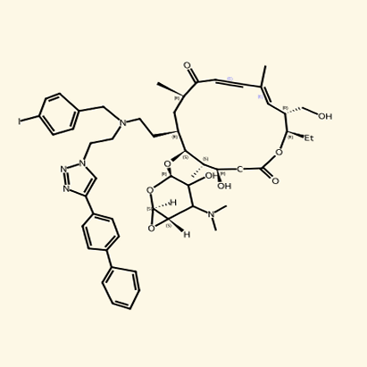 CC[C@H]1OC(=O)C[C@@H](O)[C@H](C)[C@@H](O[C@@H]2O[C@@H]3O[C@H]3C(N(C)C)C2O)[C@@H](CCN(CCn2cc(-c3ccc(-c4ccccc4)cc3)nn2)Cc2ccc(I)cc2)C[C@@H](C)C(=O)/C=C/C(C)=C/[C@@H]1CO